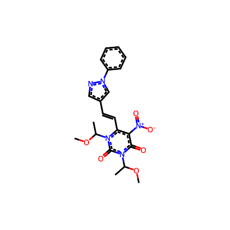 COC(C)n1c(C=Cc2cnn(-c3ccccc3)c2)c([N+](=O)[O-])c(=O)n(C(C)OC)c1=O